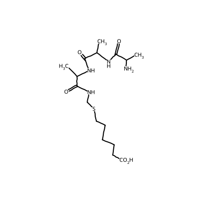 CC(N)C(=O)NC(C)C(=O)NC(C)C(=O)NCSCCCCCC(=O)O